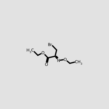 CCON=C(CBr)C(=O)OCC